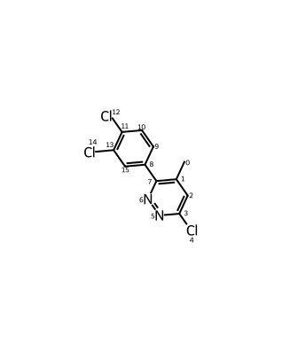 Cc1cc(Cl)nnc1-c1ccc(Cl)c(Cl)c1